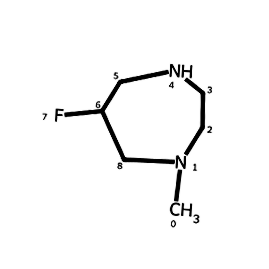 CN1CCNCC(F)C1